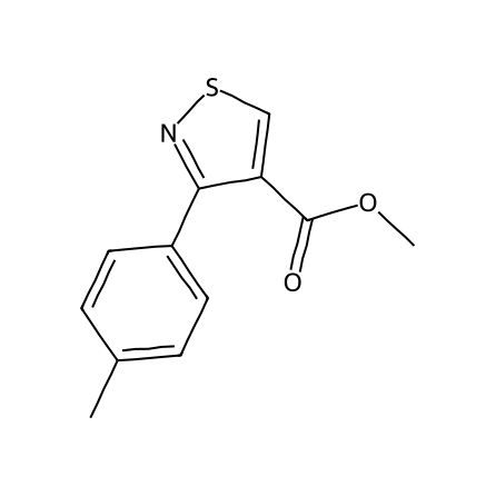 COC(=O)c1csnc1-c1ccc(C)cc1